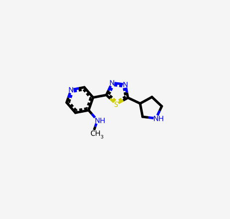 CNc1ccncc1-c1nnc(C2CCNC2)s1